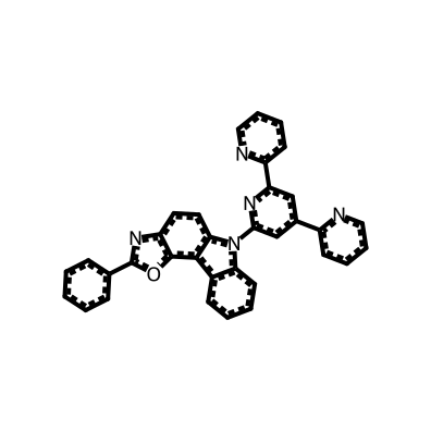 c1ccc(-c2nc3ccc4c(c5ccccc5n4-c4cc(-c5ccccn5)cc(-c5ccccn5)n4)c3o2)cc1